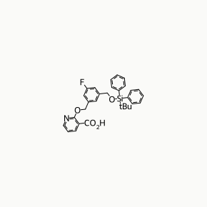 CC(C)(C)[Si](OCc1cc(F)cc(COc2ncccc2C(=O)O)c1)(c1ccccc1)c1ccccc1